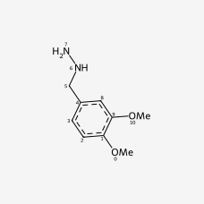 COc1ccc(CNN)cc1OC